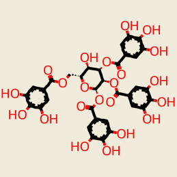 O=C(OC[C@H]1O[C@@H](OC(=O)c2cc(O)c(O)c(O)c2)[C@H](OC(=O)c2cc(O)c(O)c(O)c2)[C@@H](OC(=O)c2cc(O)c(O)c(O)c2)[C@@H]1O)c1cc(O)c(O)c(O)c1